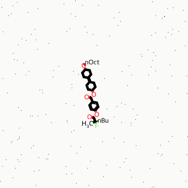 CCCCCCCCOC1CCC(=C2CCC(OC(=O)c3ccc(OC(=O)[C@@](C)(F)CCCC)cc3)CC2)CC1